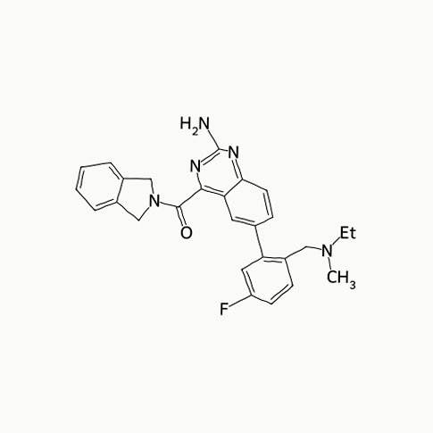 CCN(C)Cc1ccc(F)cc1-c1ccc2nc(N)nc(C(=O)N3Cc4ccccc4C3)c2c1